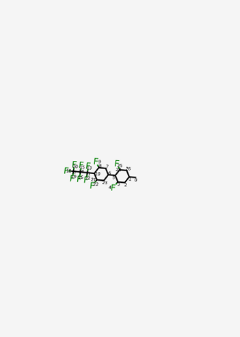 CC1CC(F)C(C2CC(F)C(C(F)(F)C(F)(F)C(F)(F)F)C(F)C2)C(F)C1